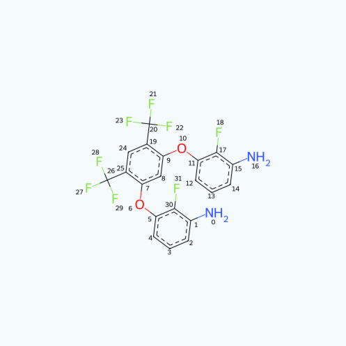 Nc1cccc(Oc2cc(Oc3cccc(N)c3F)c(C(F)(F)F)cc2C(F)(F)F)c1F